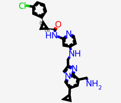 NCc1cc(C2CC2)cn2cc(CNc3ccnc(NC(=O)[C@H]4C[C@@H]4c4cccc(Cl)c4)c3)nc12